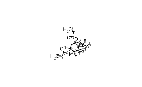 C=CC(=O)OC1(F)CC2(OC(=O)C=C)CC(F)(CF)C(F)(F)C(F)(C1(F)F)C2(F)F